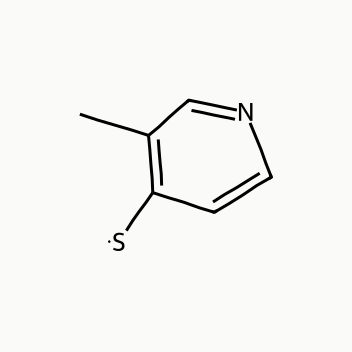 Cc1cnccc1[S]